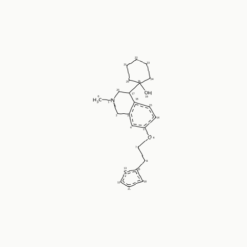 CN1Cc2cc(OCCc3cccs3)ccc2C(C2(O)CCCCC2)C1